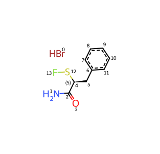 Br.NC(=O)[C@H](Cc1ccccc1)SF